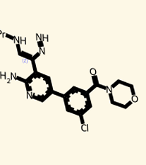 CC(C)N/C=C(\N=N)c1cc(-c2cc(Cl)cc(C(=O)N3CCOCC3)c2)cnc1N